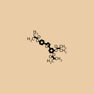 C=C(C)C(=O)Oc1ccc(-c2ccc(-c3ccc(OC(=O)C(=C)C)c(OC(=O)C(=C)C)c3)o2)cc1